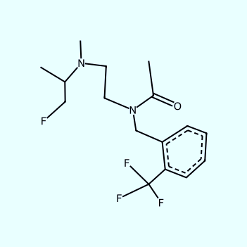 CC(=O)N(CCN(C)C(C)CF)Cc1ccccc1C(F)(F)F